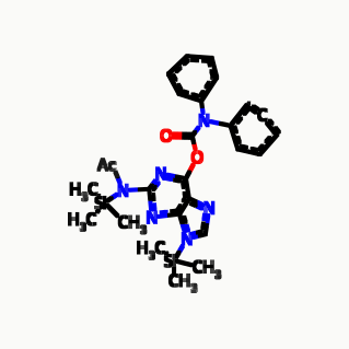 CC(=O)N(c1nc(OC(=O)N(c2ccccc2)c2ccccc2)c2ncn([Si](C)(C)C)c2n1)[Si](C)(C)C